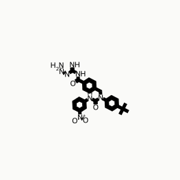 CC(C)(C)c1ccc(N(Cc2ccc(C(=O)NC(=N)/N=N\N)cc2)C(=O)Nc2cccc([N+](=O)[O-])c2)cc1